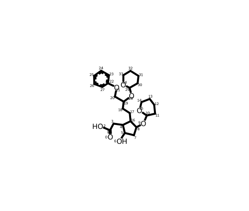 O=C(O)CC1C(O)CC(OC2CCCCO2)C1CCC(COc1ccccc1)OC1CCCCO1